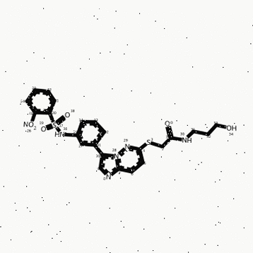 O=C(CSc1ccc2ncc(-c3cccc(NS(=O)(=O)c4ccccc4[N+](=O)[O-])c3)n2n1)NCCCO